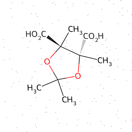 CC1(C)O[C@@](C)(C(=O)O)[C@](C)(C(=O)O)O1